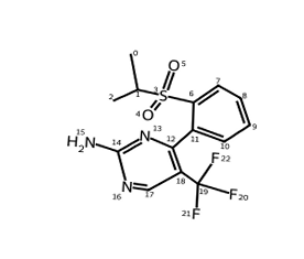 CC(C)S(=O)(=O)c1ccccc1-c1nc(N)ncc1C(F)(F)F